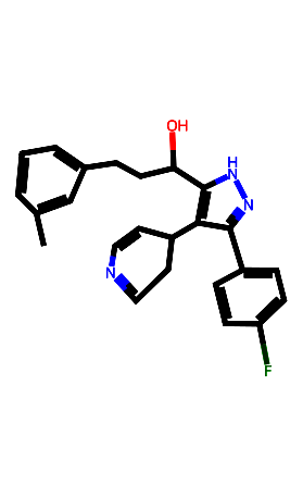 Cc1cccc(CCC(O)c2[nH]nc(-c3ccc(F)cc3)c2C2C=CN=CC2)c1